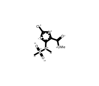 COC(=O)c1nc(Cl)sc1N(C)S(C)(=O)=O